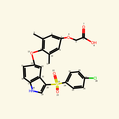 Cc1cc(OCC(=O)O)cc(C)c1Oc1ccc2[nH]cc(S(=O)(=O)c3ccc(Cl)cc3)c2c1